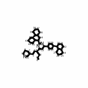 C=C/C=C(\C=C\c1cccnc1)c1cc(-c2ccc(-c3cccc4ccccc34)cc2)nc(-c2cc3ccccc3c3ccccc23)n1